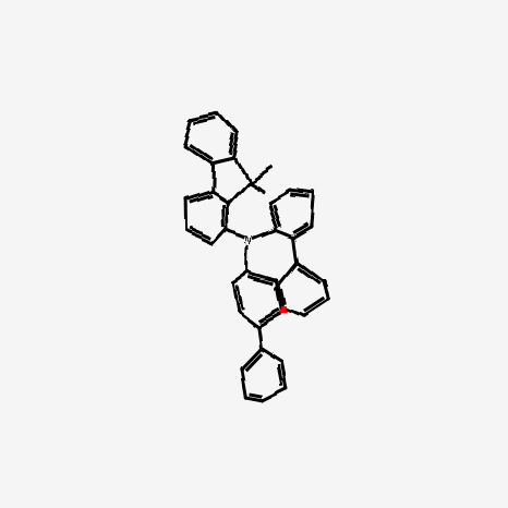 CC1(C)c2ccccc2-c2cccc(N(c3ccc(-c4ccccc4)cc3)c3ccccc3-c3ccccc3)c21